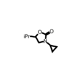 CC(C)C1CN(C2CC2)C(=O)O1